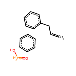 C=CCc1ccccc1.O=[PH2]O.c1ccccc1